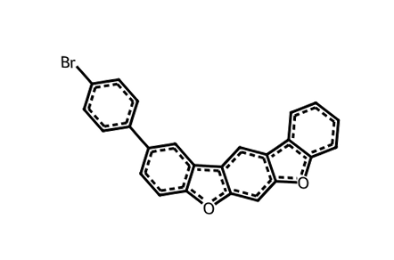 Brc1ccc(-c2ccc3oc4cc5oc6ccccc6c5cc4c3c2)cc1